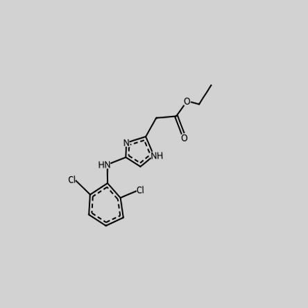 CCOC(=O)Cc1nc(Nc2c(Cl)cccc2Cl)c[nH]1